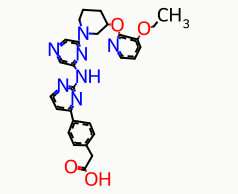 CCOc1cccnc1O[C@@H]1CCCN(c2cncc(Nc3nccc(-c4ccc(CC(=O)O)cc4)n3)n2)C1